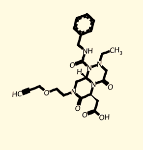 C#CCOCCN1C[C@H]2N(C(=O)CN(CC)N2C(=O)NCc2ccccc2)[C@@H](CC(=O)O)C1=O